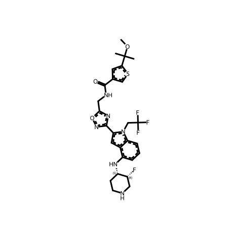 COC(C)(C)c1cc(C(=O)NCc2nc(-c3cc4c(N[C@H]5CCNC[C@H]5F)cccc4n3CC(F)(F)F)no2)cs1